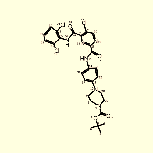 CC(C)(C)OC(=O)N1CCN(c2ccc(NC(=O)c3ncc(Cl)c(C(=O)Nc4c(Cl)cccc4Cl)n3)cc2)CC1